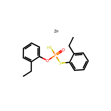 CCc1ccccc1OP(=O)(S)Sc1ccccc1CC.[Zn]